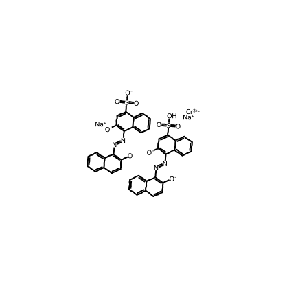 O=S(=O)(O)c1cc([O-])c(N=Nc2c([O-])ccc3ccccc23)c2ccccc12.O=S(=O)([O-])c1cc([O-])c(N=Nc2c([O-])ccc3ccccc23)c2ccccc12.[Cr+3].[Na+].[Na+]